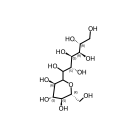 OC[C@@H](O)[C@@H](O)[C@H](O)[C@H](O)C(O)C1O[C@H](CO)[C@@H](O)[C@H](O)[C@H]1O